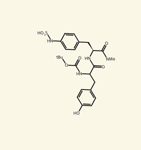 CNC(=O)[C@H](Cc1ccc(NS(=O)(=O)O)cc1)NC(=O)C(Cc1ccc(O)cc1)NC(=O)OC(C)(C)C